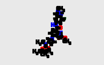 COc1nc2c(C(=O)Nc3cc(F)c4nn(C)cc4c3)ccc(N3CC[C@H](N(C)C(=O)OC(C)(C)C)C3)c2s1